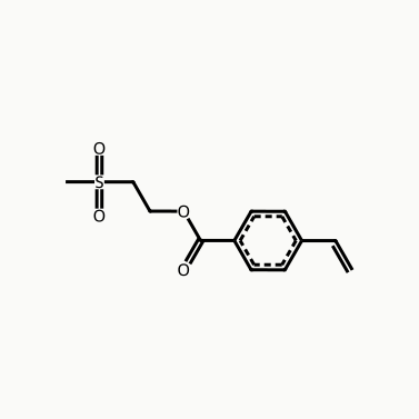 C=Cc1ccc(C(=O)OCCS(C)(=O)=O)cc1